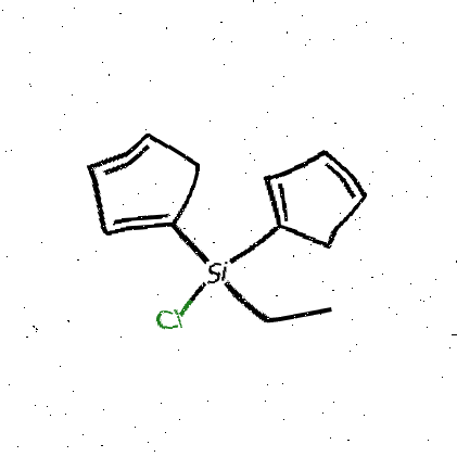 CC[Si](Cl)(C1=CC=CC1)C1=CC=CC1